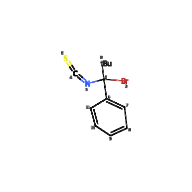 CC(C)(C)C(Br)(N=C=S)c1ccccc1